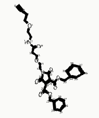 C#CCCOCCNC(=O)CCOCCN1C(=O)C(C(=O)OCc2ccccc2)=C(C(=O)OCc2ccccc2)C1=O